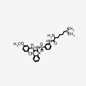 COc1ccc(Cl)c(Nc2nc3ccccc3nc2NS(=O)(=O)c2cccc(NC(=O)C(N)CCCCN(C)C)c2)c1